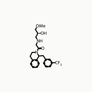 COC[C@@H](O)CNCC(=O)N1CCc2ccccc2C1Cc1cccc(C(F)(F)F)c1